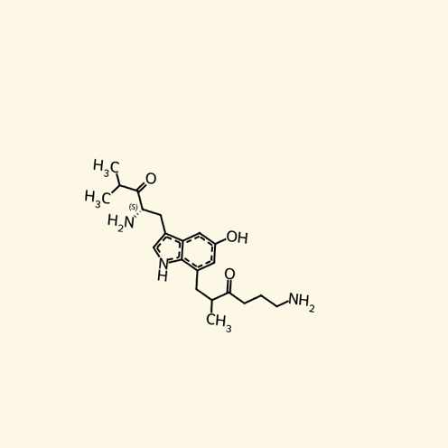 CC(C)C(=O)[C@@H](N)Cc1c[nH]c2c(CC(C)C(=O)CCCN)cc(O)cc12